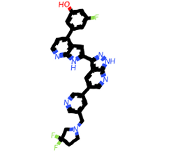 Oc1cc(F)cc(-c2ccnc3[nH]c(-c4n[nH]c5ncc(-c6cncc(CN7CCC(F)(F)C7)c6)cc45)cc23)c1